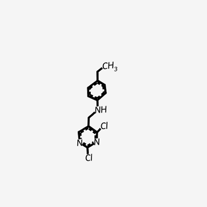 CCc1ccc(NCc2cnc(Cl)nc2Cl)cc1